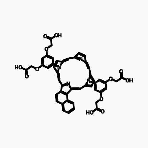 O=C(O)COc1cc(OCC(=O)O)cc(-n2c3ccc2cc2nc(cc4ccc(cc5nc(c3)C=C5)n4-c3cc(OCC(=O)O)cc(OCC(=O)O)c3)-c3c-2ccc2ccccc32)c1